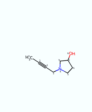 CC#CCN1CCC(O)C1